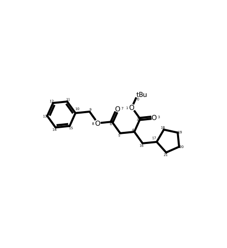 CC(C)(C)OC(=O)C(CC(=O)OCc1ccccc1)CC1CCCC1